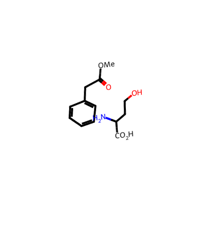 COC(=O)Cc1ccccc1.NC(CCO)C(=O)O